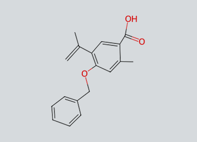 C=C(C)c1cc(C(=O)O)c(C)cc1OCc1ccccc1